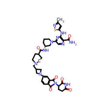 Cc1cc(Nc2nc(N3CCC[C@@H](NC(=O)C4CCN(CC5CN(c6ccc7c(c6)C(=O)N(C6CCC(=O)NC6=O)C7=O)C5)CC4)C3)cnc2C(N)=O)sn1